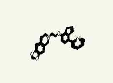 c1ccc(-c2ccc(OCCN3CCc4cc5c(cc4C3)OCO5)c3c2CCC3)nc1